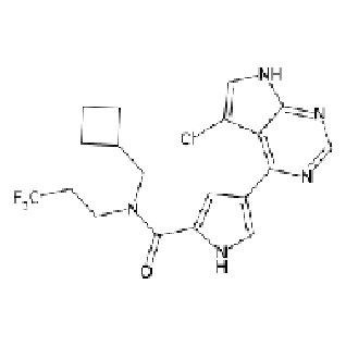 O=C(c1cc(-c2ncnc3[nH]cc(Cl)c23)c[nH]1)N(CCC(F)(F)F)CC1CCC1